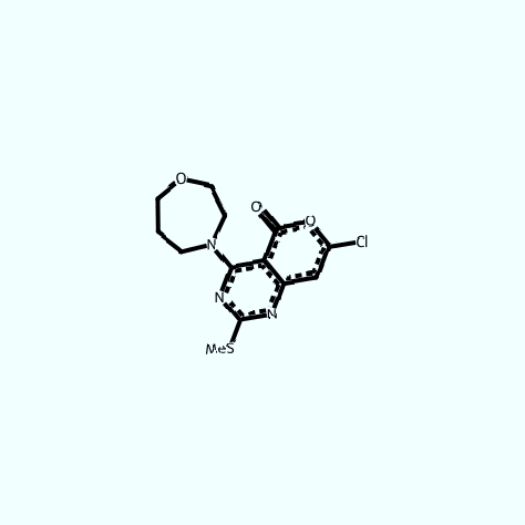 CSc1nc(N2CCCOCC2)c2c(=O)oc(Cl)cc2n1